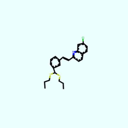 CCCSC(SCCC)c1cccc(C=Cc2ccc3ccc(Cl)cc3n2)c1